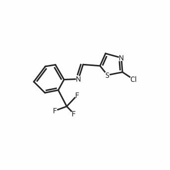 FC(F)(F)c1ccccc1/N=C/c1cnc(Cl)s1